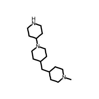 CN1CCC(CC2CCN(C3CCNCC3)CC2)CC1